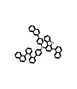 c1ccc(-c2ccccc2-c2cccc3ccccc23)c(-c2ccc(N(c3ccc(-c4ccc5ccccc5c4)cc3)c3ccc(-c4cccc5ccccc45)c4oc5ccccc5c34)cc2)c1